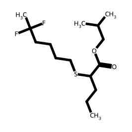 CCCC(SCCCCC(C)(F)F)C(=O)OCC(C)C